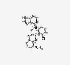 Cc1cccc2nc(CNc3ncnc4[nH]cnc34)c(-c3ccccc3Cl)nc12